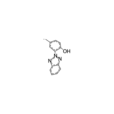 [CH2]c1ccc(O)c(-n2nc3ccccc3n2)c1